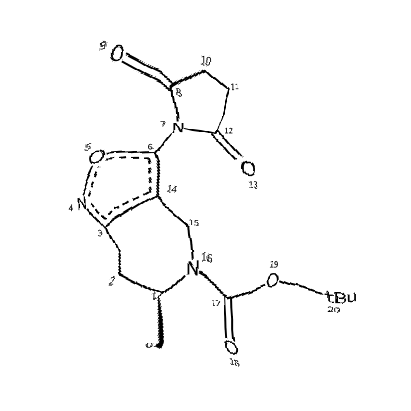 C[C@H]1Cc2noc(N3C(=O)CCC3=O)c2CN1C(=O)OC(C)(C)C